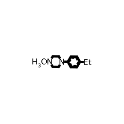 CCc1ccc(N2CCN(C)CC2)cc1